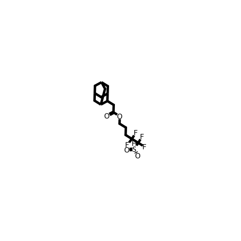 O=C(CC1C2CC3CC(C2)CC1C3)OCCCC(F)(F)C(F)(F)[SH](=O)=O